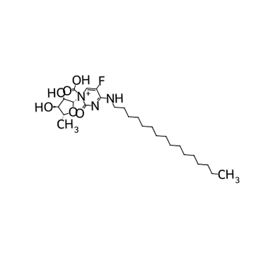 CCCCCCCCCCCCCCCCNC1=NC(=O)[N+](C(=O)O)([C@@H]2O[C@H](C)[C@@H](O)[C@H]2O)C=C1F